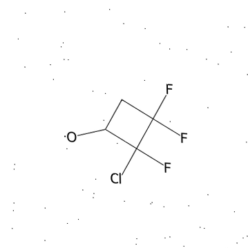 [O]C1CC(F)(F)C1(F)Cl